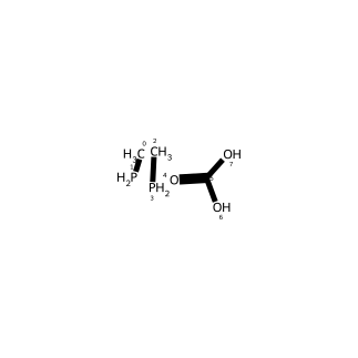 CP.CP.O=C(O)O